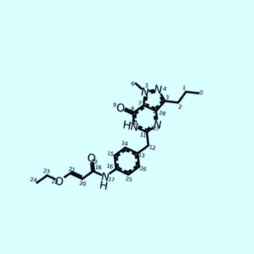 CCCc1nn(C)c2c(=O)[nH]c(Cc3ccc(NC(=O)C=COCC)cc3)nc12